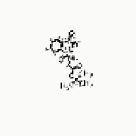 CC(C)(C)OC(=O)CNS(=O)(=O)c1ccccc1[N+](=O)[O-]